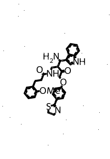 COc1ccccc1CCC(=O)NCC(C(=O)COc1ccc(C2=NCCS2)cc1)C(N)c1c[nH]c2ccccc12